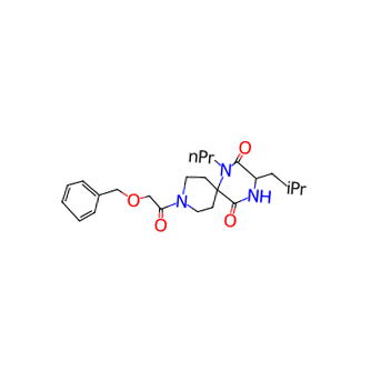 CCCN1C(=O)C(CC(C)C)NC(=O)C12CCN(C(=O)COCc1ccccc1)CC2